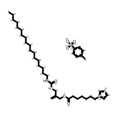 C=C(COC(=O)CCCCCC[n+]1ccsc1)COC(=O)NCCCCCCCCCCCCCCCCCC.Cc1ccc(S(=O)(=O)[O-])cc1